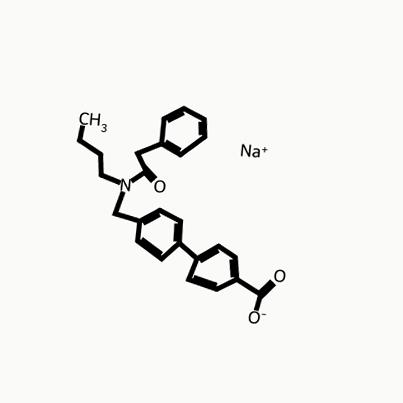 CCCCN(Cc1ccc(-c2ccc(C(=O)[O-])cc2)cc1)C(=O)Cc1ccccc1.[Na+]